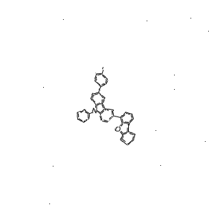 Cc1ccc(-c2ccc3c(c2)c2cc(-c4cccc5c4oc4ccccc45)ccc2n3-c2ccccc2)cc1